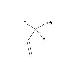 C=CC(F)(F)CCC